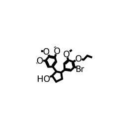 CCCOc1c(Br)cc(C2CCC(O)C2c2cc(OC)c(OC)c(OC)c2)cc1OC